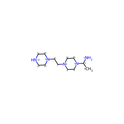 CC(N)N1CCN(CCN2CCNCC2)CC1